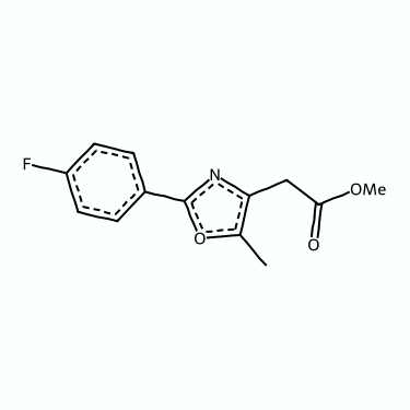 COC(=O)Cc1nc(-c2ccc(F)cc2)oc1C